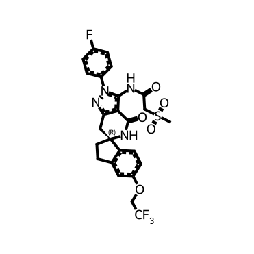 CS(=O)(=O)CC(=O)Nc1c2c(nn1-c1ccc(F)cc1)C[C@@]1(CCc3cc(OCC(F)(F)F)ccc31)NC2=O